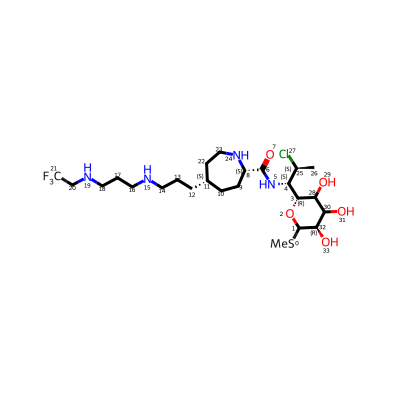 CSC1O[C@H]([C@H](NC(=O)[C@@H]2CC[C@H](CCCNCCCNCC(F)(F)F)CCN2)[C@H](C)Cl)C(O)C(O)[C@H]1O